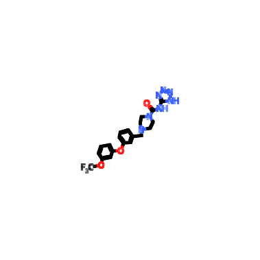 O=C(Nc1nnn[nH]1)N1CCN(Cc2cccc(Oc3cccc(OC(F)(F)F)c3)c2)CC1